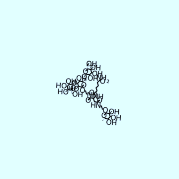 C[C@@H]1O[C@@H](OCCNC(=O)CC(NC(=O)CCCCC(N)=O)C(=O)NCCO[C@H]2O[C@H](CO[C@H]3O[C@H](CO)[C@@H](O)[C@H](O)[C@@H]3O)[C@@H](O)[C@H](O[C@H]3O[C@H](CO)[C@@H](O)[C@H](O)[C@@H]3O)[C@@H]2O)[C@@H](O)[C@H](O)[C@@H]1O